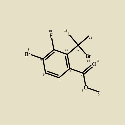 COC(=O)c1ccc(Br)c(F)c1C(C)(Br)I